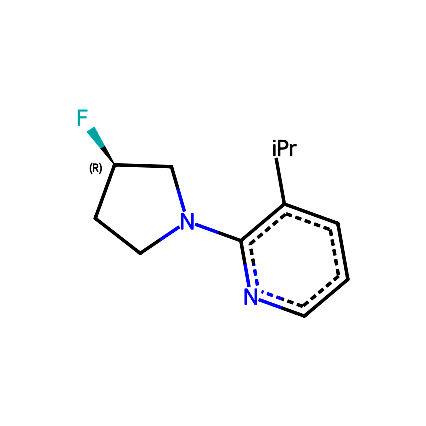 CC(C)c1cccnc1N1CC[C@@H](F)C1